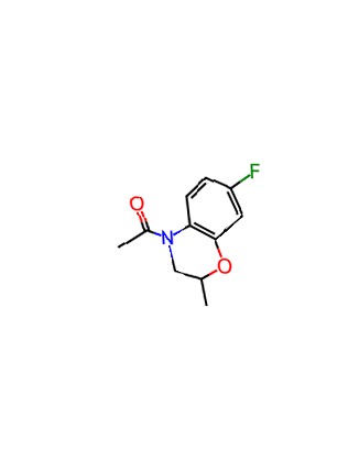 CC(=O)N1CC(C)Oc2cc(F)ccc21